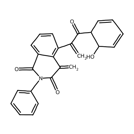 C=C(C(=O)C1C=CC=CC1O)c1cccc2c1C(=C)C(=O)N(c1ccccc1)C2=O